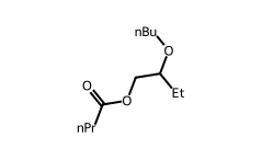 CCCCOC(CC)COC(=O)CCC